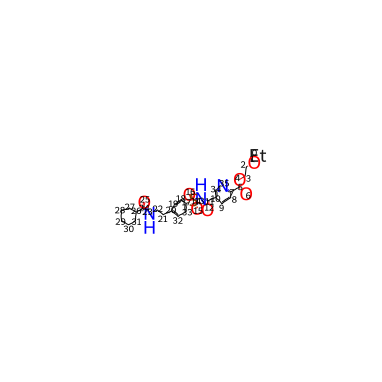 CCOCCOC(=O)c1ccc(C(=O)NS(=O)(=O)c2ccc(CCNC(=O)C3CCCCC3)cc2)cn1